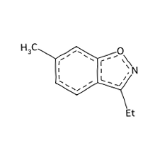 CCc1noc2cc(C)ccc12